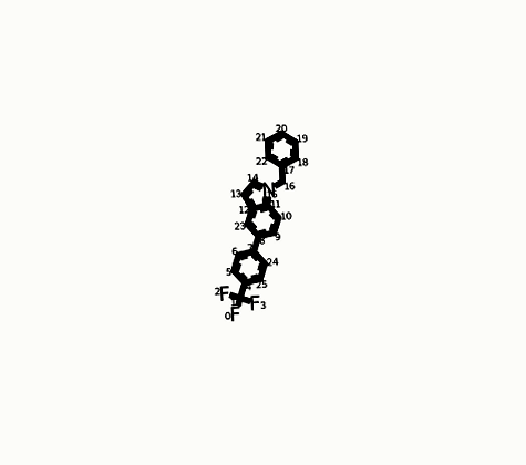 FC(F)(F)c1ccc(-c2ccc3c([c]cn3Cc3ccccc3)c2)cc1